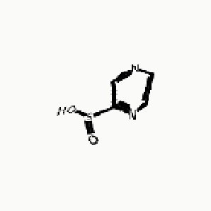 O=S(O)c1cnccn1